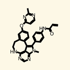 C=CC(=O)Nc1ccc(-c2c3c4c(ncnc4n2C)NCCc2cc(Oc4ccnc(C)n4)ccc2-3)cc1